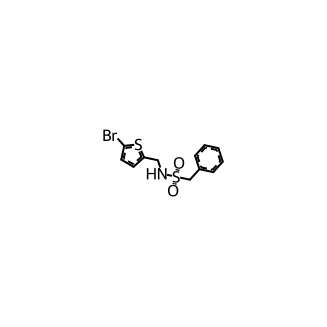 O=S(=O)(Cc1ccccc1)NCc1ccc(Br)s1